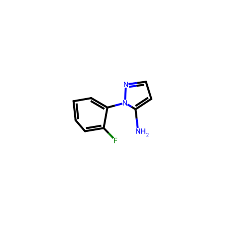 Nc1ccnn1-c1ccccc1F